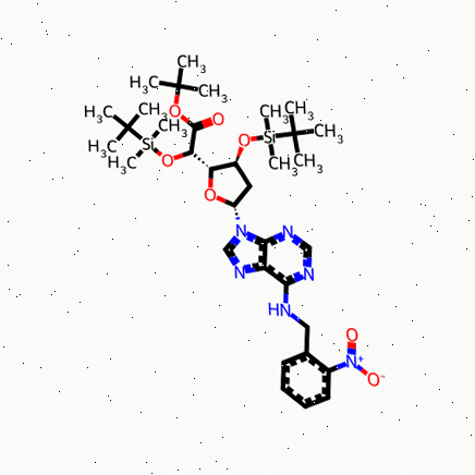 CC(C)(C)OC(=O)C(O[Si](C)(C)C(C)(C)C)[C@H]1O[C@@H](n2cnc3c(NCc4ccccc4[N+](=O)[O-])ncnc32)C[C@@H]1O[Si](C)(C)C(C)(C)C